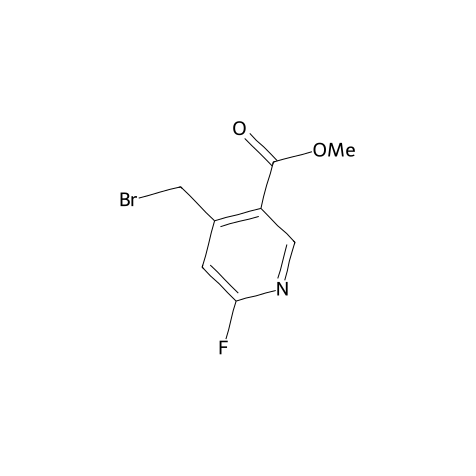 COC(=O)c1cnc(F)cc1CBr